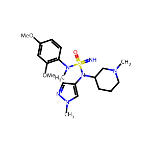 COc1ccc(N(C)S(=N)(=O)N(c2cnn(C)c2)C2CCCN(C)C2)c(OC)c1